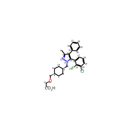 Cc1nn(C[C@H]2CC[C@@H](COCC(=O)O)CC2)c(-c2cccc(Cl)c2F)c1-c1ccccc1